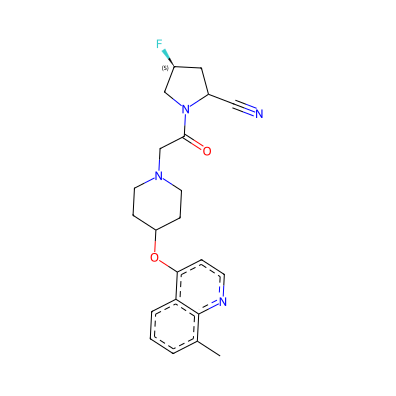 Cc1cccc2c(OC3CCN(CC(=O)N4C[C@@H](F)CC4C#N)CC3)ccnc12